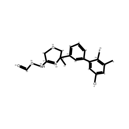 Cc1cc(Cl)cc(-c2cccc(C3(C)COCC(NOC=O)=N3)c2)c1F